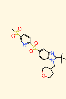 CC(C)(C)c1nc2cc(S(=O)(=O)c3ccc(S(C)(=O)=O)cn3)ccc2n1CC1CCOCC1